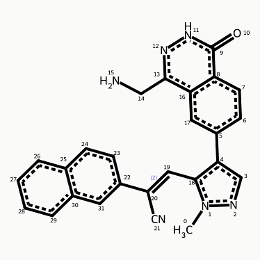 Cn1ncc(-c2ccc3c(=O)[nH]nc(CN)c3c2)c1/C=C(\C#N)c1ccc2ccccc2c1